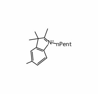 CCCCC[N+]1=C(C)C(C)(C)c2cc(C)ccc21